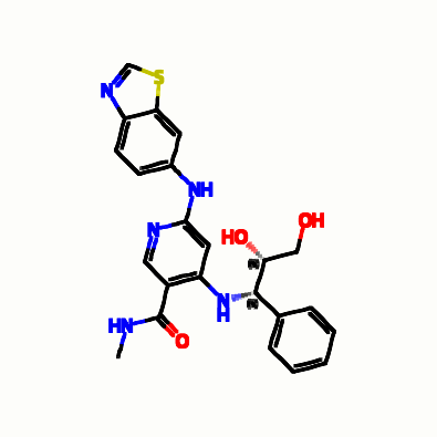 CNC(=O)c1cnc(Nc2ccc3ncsc3c2)cc1N[C@@H](c1ccccc1)[C@H](O)CO